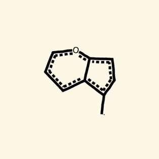 [CH2]c1ccc2occcc1-2